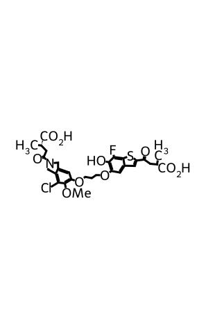 COc1c(OCCCOc2cc3cc(C(=O)C[C@H](C)C(=O)O)sc3c(F)c2O)cc2c(c1Cl)CN(C(=O)C[C@H](C)C(=O)O)C2